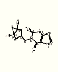 O=c1[nH]c2nc[nH]c2c(=O)n1CC1C[C@@H]2C[C@@H]2C1